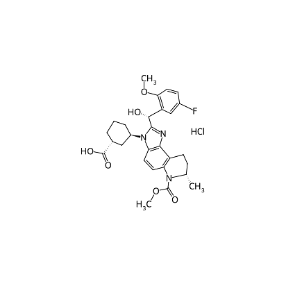 COC(=O)N1c2ccc3c(nc([C@H](O)c4cc(F)ccc4OC)n3[C@@H]3CCC[C@@H](C(=O)O)C3)c2CC[C@@H]1C.Cl